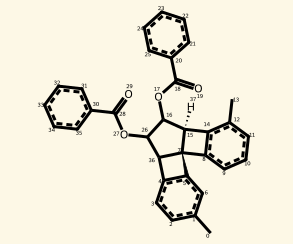 Cc1ccc2c(c1)[C@]13c4cccc(C)c4[C@@H]1C(OC(=O)c1ccccc1)C(OC(=O)c1ccccc1)C23